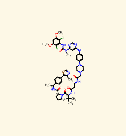 COc1cc(OC)c(Cl)c(NC(=O)N(C)c2cc(Nc3ccc(N4CCN(CC(=O)NCCC(=O)N[C@H](C(=O)N5CCC[C@H]5C(=O)N[C@@H](C)c5ccc(-c6scnc6C)cc5)C(C)(C)C)CC4)cc3)ncn2)c1Cl